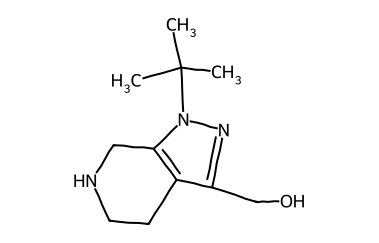 CC(C)(C)n1nc(CO)c2c1CNCC2